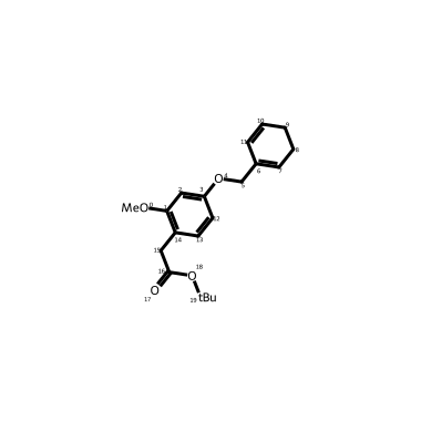 COc1cc(OCC2=CCCC=C2)ccc1CC(=O)OC(C)(C)C